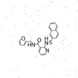 O=C(NCc1ccco1)c1cccnc1NSc1ccc2ccccc2c1